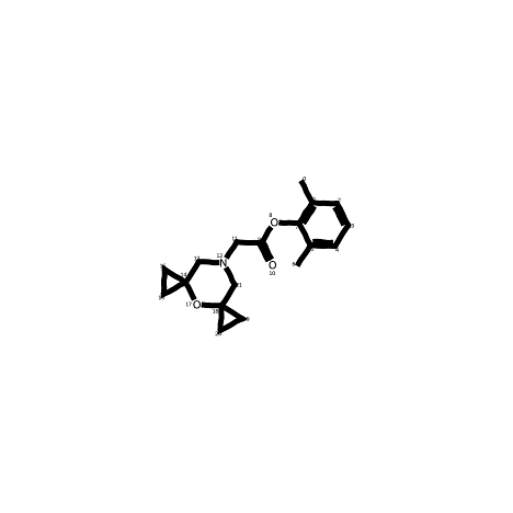 Cc1cccc(C)c1OC(=O)CN1CC2(CC2)OC2(CC2)C1